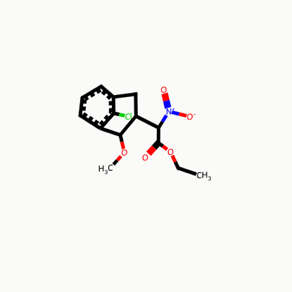 CCOC(=O)C(C1Cc2cccc(c2Cl)C1OC)[N+](=O)[O-]